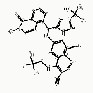 Cn1ccc2c([C@H](Nc3cc(Cl)c4ncc(C#N)c(NCC(C)(C)C)c4c3)C3=CN(C(C)(C)C)NN3)cccc2c1=O